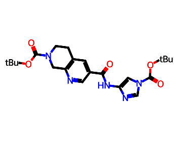 CC(C)(C)OC(=O)N1CCc2cc(C(=O)Nc3cn(C(=O)OC(C)(C)C)cn3)cnc2C1